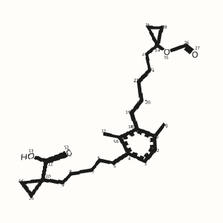 Cc1ccc(CCCCCC2(C(=O)O)CC2)c(C)c1CCCCCC1(OC=O)CC1